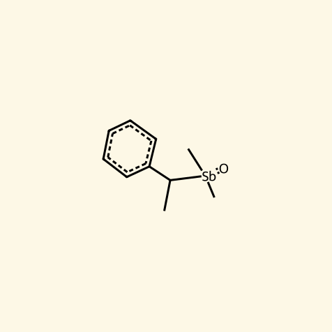 C[CH](c1ccccc1)[Sb]([CH3])([CH3])=[O]